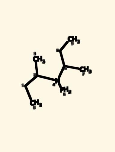 CCC(C)N(P)C(C)CC